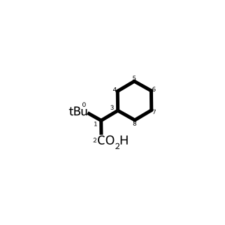 CC(C)(C)C(C(=O)O)C1CCCCC1